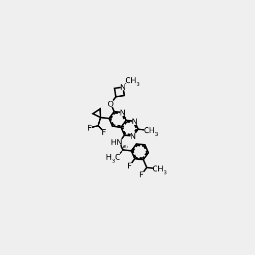 Cc1nc(N[C@H](C)c2cccc(C(C)F)c2F)c2cc(C3(C(F)F)CC3)c(OC3CN(C)C3)nc2n1